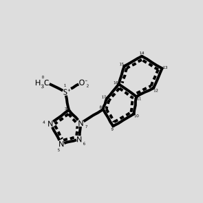 C[S+]([O-])c1nnnn1-c1ccc2ccccc2c1